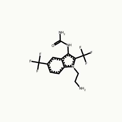 NCCn1c(C(F)(F)F)c(NC(N)=O)c2cc(C(F)(F)F)ccc21